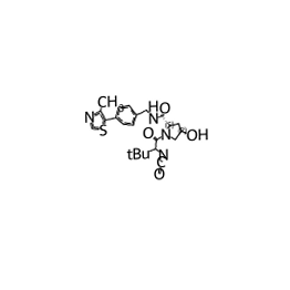 Cc1ncsc1-c1ccc(CNC(=O)[C@@H]2C[C@@H](O)CN2C(=O)C(N=C=O)C(C)(C)C)cc1